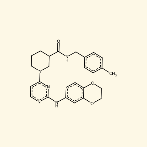 Cc1ccc(CNC(=O)C2CCCN(c3ccnc(Nc4ccc5c(c4)OCCO5)n3)C2)cc1